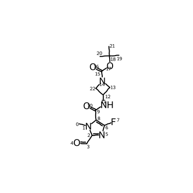 Cn1c(C=O)nc(F)c1C(=O)NC1CN(C(=O)OC(C)(C)C)C1